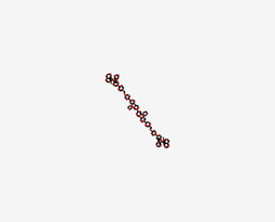 C(=C\c1ccc(-c2ccc3c(c2)c2ccccc2n3-c2cccc3ccccc23)cc1)/c1ccc(-c2ccc3c(c2)C2(CCCC2)c2cc(-c4ccc5c(c4)C4(CCCC4)c4cc(-c6ccc(/C=C/c7ccc(-c8ccc9c(c8)c8ccccc8n9-c8cccc9ccccc89)cc7)cc6)ccc4-5)ccc2-3)cc1